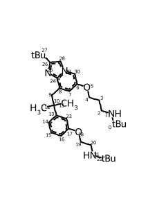 CC(C)(C)NCCCOc1cc(CC(C)(C)c2cccc(OCCNC(C)(C)C)c2)c2nc(C(C)(C)C)cn2c1